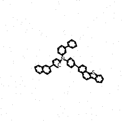 c1ccc(-c2cccc(N(c3ccc(-c4ccc5ccccc5c4)cc3)c3ccc(-c4ccc5c(ccc6c7ccccc7sc56)c4)cc3)c2)cc1